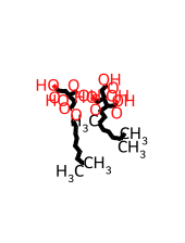 CC(C)CCCC(C)CCC(C(=O)O)C(O)(CC(=O)O)C(=O)O.CC(C)CCCCCCCOC(=O)CC(O)(CC(=O)O)C(=O)O